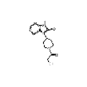 CCC(=O)N1CCC(n2c(=O)[nH]c3ncncc32)CC1